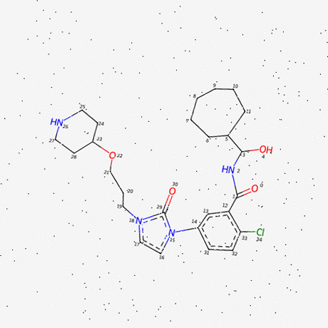 O=C(NC(O)C1CCCCCC1)c1cc(-n2ccn(CCCOC3CCNCC3)c2=O)ccc1Cl